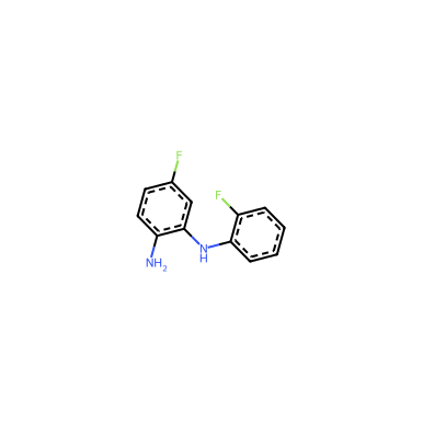 Nc1ccc(F)cc1Nc1ccccc1F